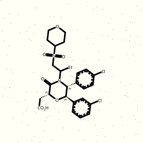 CCC(CS(=O)(=O)C1CCOCC1)N1C(=O)[C@@H](CC(=O)O)O[C@H](c2cccc(Cl)c2)[C@H]1c1ccc(Cl)cc1